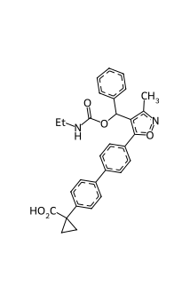 CCNC(=O)OC(c1ccccc1)c1c(C)noc1-c1ccc(-c2ccc(C3(C(=O)O)CC3)cc2)cc1